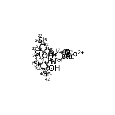 CC(=O)[O-].CC(=O)[O-].C[Si](C)(C)c1cc(C=NC2CCCCC2N=Cc2cc([Si](C)(C)C)cc([Si](C)(C)C)c2O)c(O)c([Si](C)(C)C)c1.[Co+2]